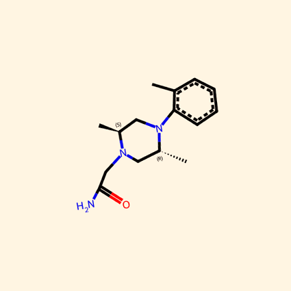 Cc1ccccc1N1C[C@H](C)N(CC(N)=O)C[C@H]1C